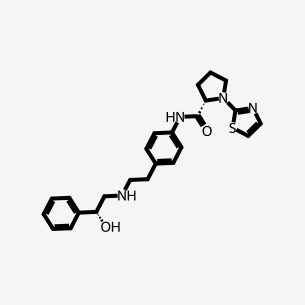 O=C(Nc1ccc(CCNC[C@H](O)c2ccccc2)cc1)[C@@H]1CCCN1c1nccs1